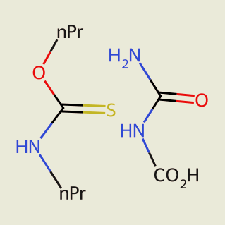 CCCNC(=S)OCCC.NC(=O)NC(=O)O